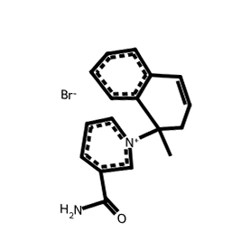 CC1([n+]2cccc(C(N)=O)c2)CC=Cc2ccccc21.[Br-]